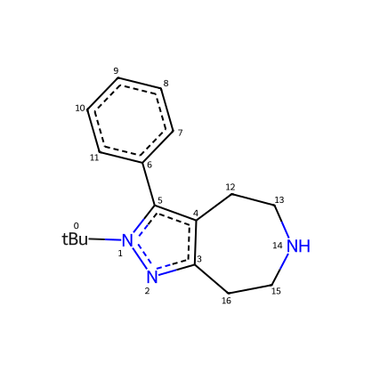 CC(C)(C)n1nc2c(c1-c1ccccc1)CCNCC2